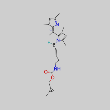 CC1=CC(C)=N/C1=C(/C)c1c(C)cc(C)n1B(F)C#CCCNC(=O)OCC1C=C1C